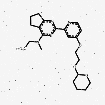 CCOC(=O)CN(C)c1nc(-c2cc(OCCOC3CCCCO3)ccn2)nc2c1CCC2